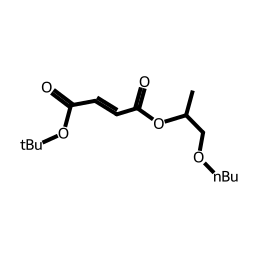 CCCCOCC(C)OC(=O)C=CC(=O)OC(C)(C)C